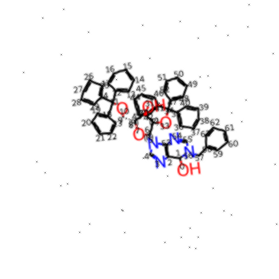 OC1c2ncn([C@@H]3O[C@H](COC(c4ccccc4)(c4ccccc4)c4ccccc4)[C@@H](O)[C@H]3OC(c3ccccc3)(c3ccccc3)c3ccccc3)c2N=CN1Cc1ccccc1